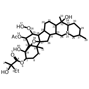 CCC(C)(O)C(=O)OC1CCC2(C)C3C(OC(C)=O)C(OO)C4C5CCC6C(CN7CC(C)CCC7C6(C)O)C5CC42OC13O